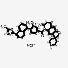 Cc1nnc(-c2cccc3c(-c4ccc(C(=O)N5c6cc7c(cc6CCC5C)OCC75CCNCC5)cc4C)cccc23)o1.Cl